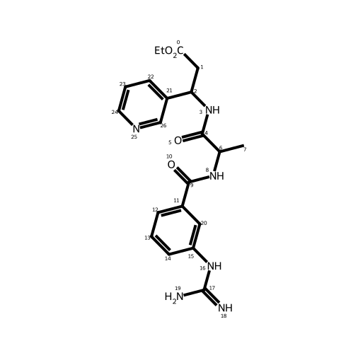 CCOC(=O)CC(NC(=O)C(C)NC(=O)c1cccc(NC(=N)N)c1)c1cccnc1